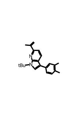 C=C(C)c1ccc2c(-c3ccc(C)c(C)c3)cn(C(C)(C)C)c2n1